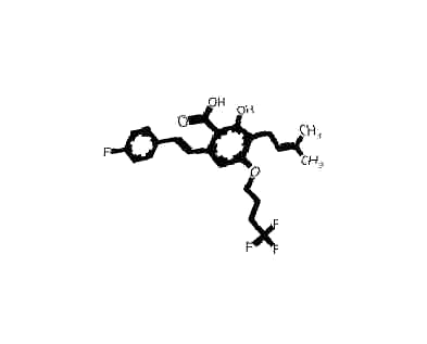 CC(C)=CCc1c(OCCCC(F)(F)F)cc(C=Cc2ccc(F)cc2)c(C(=O)O)c1O